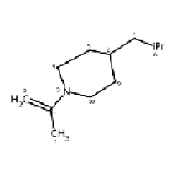 C=C(C)N1CCC(CC(C)C)CC1